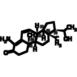 CC(O)[C@H]1CC[C@H]2[C@@H]3C=CC4=C(N)C(=O)CC[C@]4(C)[C@H]3CC[C@]12C